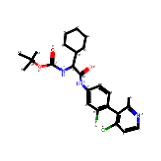 Cc1nccc(Cl)c1-c1ccc(NC(=O)C(NC(=O)OC(C)(C)C)C2CCCCC2)cc1F